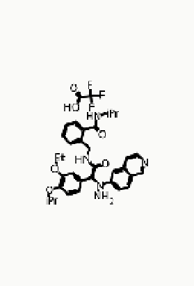 CCOc1cc(C(C(=O)NCc2ccccc2C(=O)NC(C)C)N(N)c2ccc3cnccc3c2)ccc1OC(C)C.O=C(O)C(F)(F)F